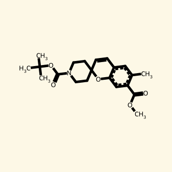 COC(=O)c1cc2c(cc1C)C=CC1(CCN(C(=O)OC(C)(C)C)CC1)O2